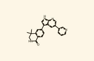 CC1(C)CNC(=O)c2ccc(-c3c[nH]c4ncc(-c5cccnc5)cc34)cc21